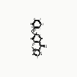 Cn1ccnc1C(=O)c1ccc(Oc2ccccc2)cc1